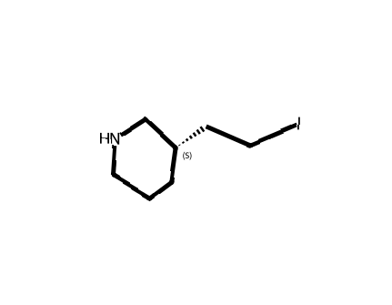 ICC[C@@H]1CCCNC1